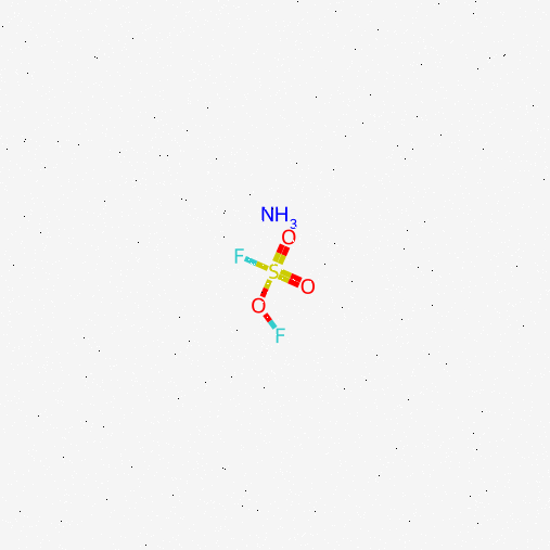 N.O=S(=O)(F)OF